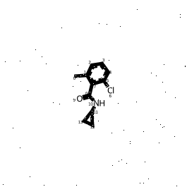 Cc1cccc(Cl)c1C(=O)NC1CC1